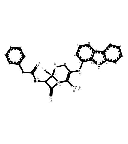 O=C(Cc1ccccc1)N[C@@H]1C(=O)N2C(C(=O)O)=C(Sc3cccc4c3oc3ccccc34)CS[C@@H]12